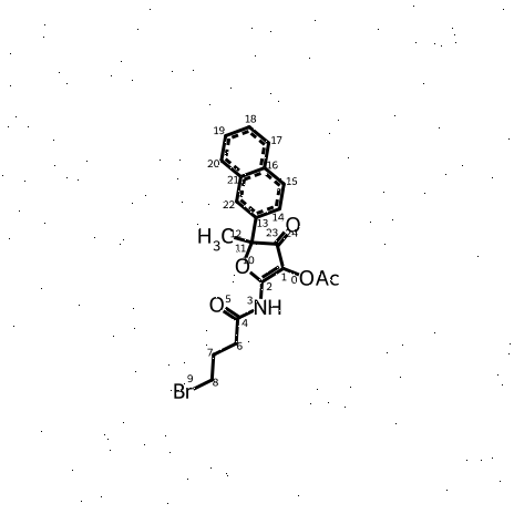 CC(=O)OC1=C(NC(=O)CCCBr)OC(C)(c2ccc3ccccc3c2)C1=O